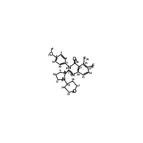 COc1ccc(-n2c([C@@H]3CCCN3C3CCOCC3)nc3ccc(F)c(F)c3c2=O)cc1